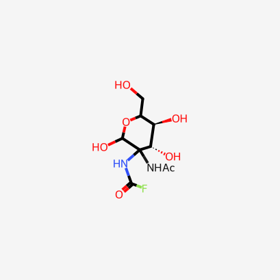 CC(=O)NC1(NC(=O)F)C(O)OC(CO)[C@@H](O)[C@@H]1O